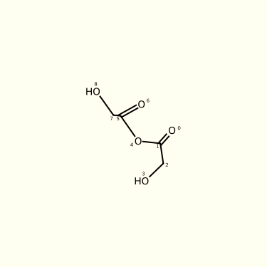 O=C(CO)OC(=O)CO